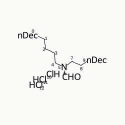 CCCCCCCCCCCCCCN(C=O)CCCCCCCCCCCC.Cl.Cl.Cl